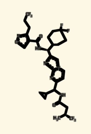 C[C@@H](CC(=O)NC(c1ccn2cc([C@@H](NC(=O)c3conc3CCC(F)(F)F)C3CCC(F)(F)CC3)nc2n1)C1CC1)C(F)(F)F